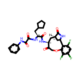 O=C(Nc1ccccc1)C(=O)N[C@@H](CC1CCCC1)C(=O)N[C@H]1C[C@@H]2CC(NC2=O)c2c(F)cc(F)c(F)c2OCC1=O